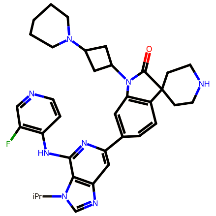 CC(C)n1cnc2cc(-c3ccc4c(c3)N(C3CC(N5CCCCC5)C3)C(=O)C43CCNCC3)nc(Nc3ccncc3F)c21